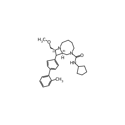 COC[C@@H]1C(c2ccc(-c3ccccc3C)cc2)[C@@H]2CN(C(=O)NC3CCCC3)CCCCN12